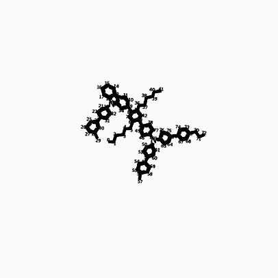 CCCCCCc1cc(-c2ccc3c4ccccc4n(-c4ccc(-c5cccc(C)c5)cc4)c3c2)c(CCCCCC)cc1-c1ccc(N(c2ccc(-c3ccc(C)cc3)cc2)c2ccc(-c3ccc(CCC)cc3)cc2)cc1